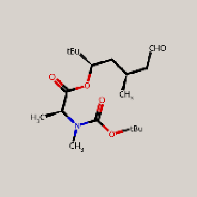 C[C@H](CC=O)C[C@@H](OC(=O)[C@H](C)N(C)C(=O)OC(C)(C)C)C(C)(C)C